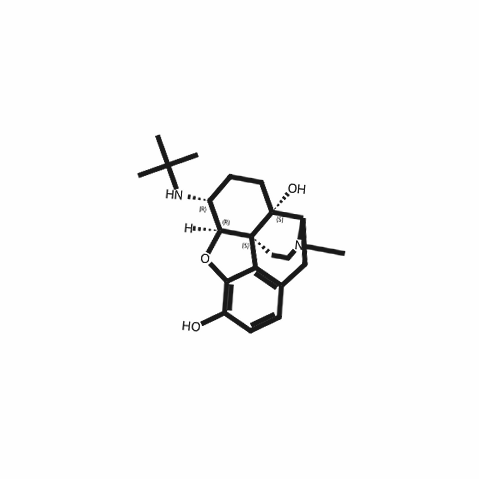 CN1CC[C@]23c4c5ccc(O)c4O[C@H]2[C@H](NC(C)(C)C)CC[C@@]3(O)C1C5